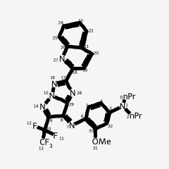 CCCN(CCC)c1ccc(/N=C2/C(C(F)(F)C(F)(F)F)=Nn3nc(-c4ccc5ccccc5n4)nc32)c(OC)c1